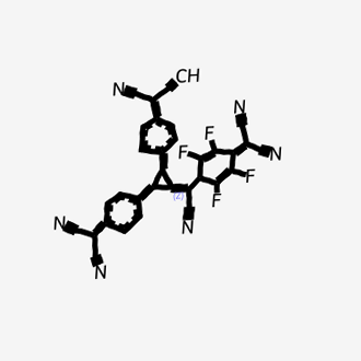 C#CC(C#N)=c1ccc(=C2C(=c3ccc(=C(C#N)C#N)cc3)/C2=C(\C#N)C2C(F)=C(F)C(=C(C#N)C#N)C(F)=C2F)cc1